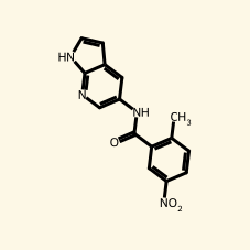 Cc1ccc([N+](=O)[O-])cc1C(=O)Nc1cnc2[nH]ccc2c1